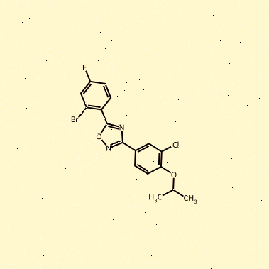 CC(C)Oc1ccc(-c2noc(-c3ccc(F)cc3Br)n2)cc1Cl